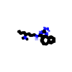 CCCC(CCCNc1nc(N)nc2c1CCCc1ccccc1-2)N(C)C